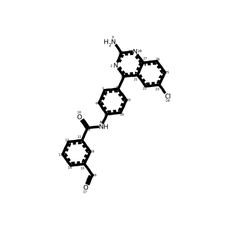 Nc1nc(-c2ccc(NC(=O)c3cccc(C=O)c3)cc2)c2cc(Cl)ccc2n1